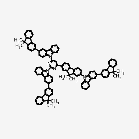 CC1(C)c2ccccc2-c2cc(-c3ccc4c(c3)c3ccccc3n4-c3ccc4c(c3)C(C)(C)c3cc(-c5cc(-n6c7ccccc7c7cc(-c8ccc9c(c8)-c8ccccc8C9(C)C)ccc76)nc(-n6c7ccccc7c7cc(-c8ccc9c(c8)-c8ccccc8C9(C)C)ccc76)n5)ccc3-4)ccc21